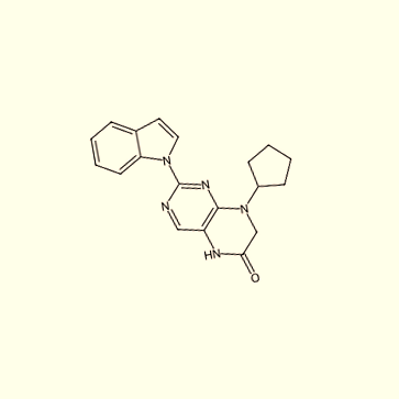 O=C1CN(C2CCCC2)c2nc(-n3ccc4ccccc43)ncc2N1